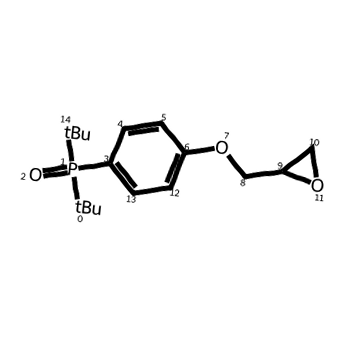 CC(C)(C)P(=O)(c1ccc(OCC2CO2)cc1)C(C)(C)C